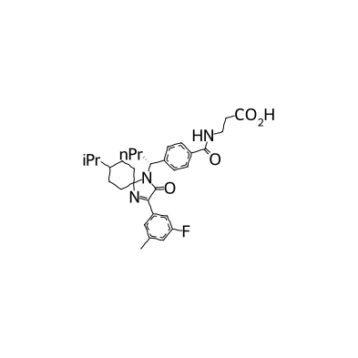 CCC[C@H](c1ccc(C(=O)NCCC(=O)O)cc1)N1C(=O)C(c2cc(C)cc(F)c2)=NC12CCC(C(C)C)CC2